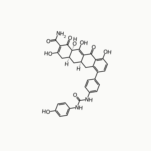 NC(=O)C1=C(O)C[C@@H]2C[C@@H]3Cc4c(-c5ccc(NC(=O)Nc6ccc(O)cc6)cc5)ccc(O)c4C(=O)C3=C(O)[C@]2(O)C1=O